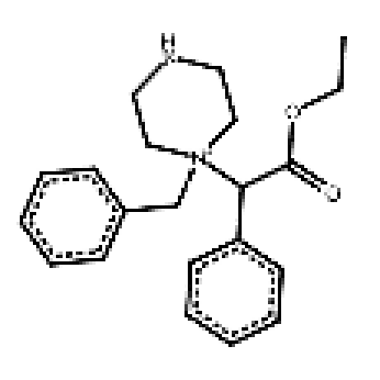 CCOC(=O)C(c1ccccc1)[N+]1(Cc2ccccc2)CCNCC1